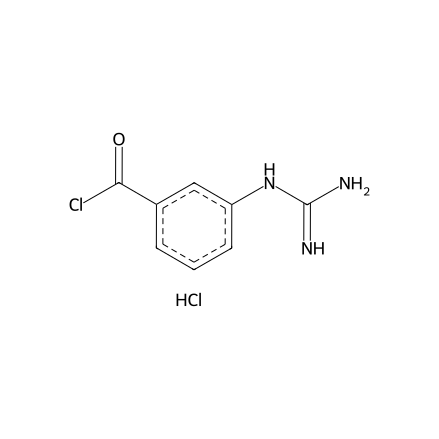 Cl.N=C(N)Nc1cccc(C(=O)Cl)c1